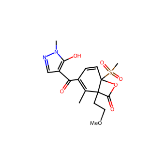 COCCC12C(=O)OC1(S(C)(=O)=O)C=CC(C(=O)c1cnn(C)c1O)=C2C